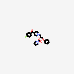 O=C(c1ccc(F)cc1)C1CCN(CC(COc2ccccc2)OC(=O)N2CCCC2)CC1